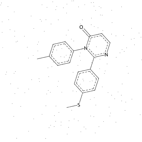 CSc1ccc(-c2nccc(=O)n2-c2ccc(C)cc2)cc1